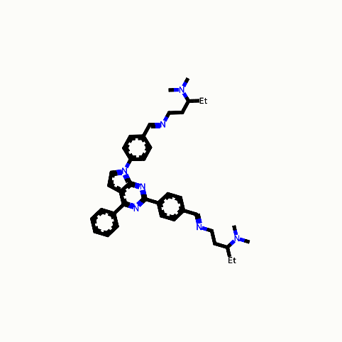 CCC(CCN=Cc1ccc(-c2nc(-c3ccccc3)c3ccn(-c4ccc(C=NCCC(CC)N(C)C)cc4)c3n2)cc1)N(C)C